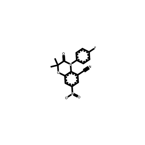 CC1(C)Oc2cc([N+](=O)[O-])cc(C#N)c2N(c2ccc(F)cc2)C1=O